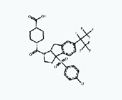 O=C(O)[C@H]1CC[C@H](C(=O)N2CCC3(S(=O)(=O)c4ccc(Cl)cc4)c4ccc(C(F)(C(F)(F)F)C(F)(F)F)cc4CC23)CC1